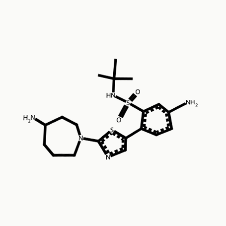 CC(C)(C)NS(=O)(=O)c1cc(N)ccc1-c1cnc(N2CCCC(N)CC2)s1